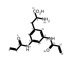 C=CC(=O)Nc1cc(CC(N)C(=O)O)cc(NC(=O)C=C)c1